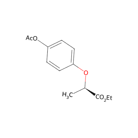 CCOC(=O)[C@@H](C)Oc1ccc(OC(C)=O)cc1